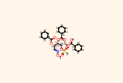 CO/N=C/[C@H](OC(=O)c1ccccc1)[C@H](OC(=O)c1ccccc1)[C@H](COC(=O)c1ccccc1)OS(C)(=O)=O